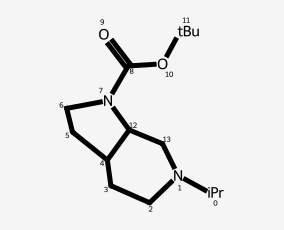 CC(C)N1CCC2CCN(C(=O)OC(C)(C)C)C2C1